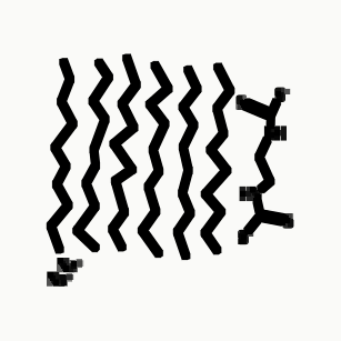 CCCCCCCCCC.CCCCCCCCCC.CCCCCCCCCC.CCCCCCCCCC.CCCCCCCCCC.CCCCCCCCCC.S=C([S-])NCCNC(=S)[S-].[Na+].[Na+]